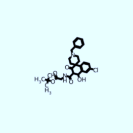 CC(C)(C)OC(=O)CNC(=O)C1C(=O)C2(CCN(Cc3ccccc3)CC2)c2ccc(Cl)cc2C1O